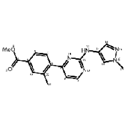 COC(=O)c1ccc(-c2ccnc(Nc3cnn(C)c3)n2)c(C)c1